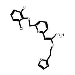 O=C(O)/C(=C\c1cccc(CSc2c(Cl)cccc2Cl)n1)OCCc1cccs1